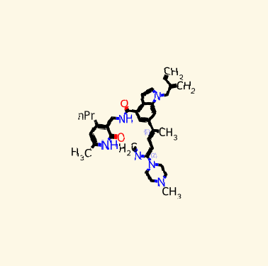 C=CC(=C)Cn1ccc2c(C(=O)NCc3c(CCC)cc(C)[nH]c3=O)cc(/C(C)=C/C=C(\N=C)N3CCN(C)CC3)cc21